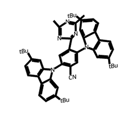 Cc1nc(C)nc(-c2cc(-n3c4cc(C(C)(C)C)ccc4c4ccc(C(C)(C)C)cc43)c(C#N)cc2-n2c3cc(C(C)(C)C)ccc3c3ccc(C(C)(C)C)cc32)n1